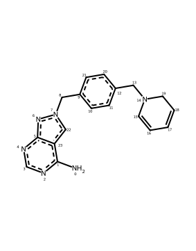 Nc1ncnc2nn(Cc3ccc(CN4C=CC=CC4)cc3)cc12